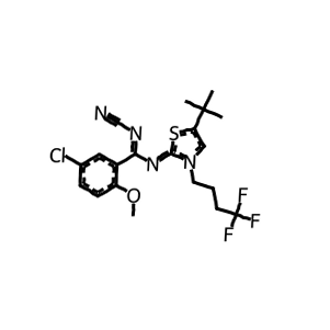 COc1ccc(Cl)cc1C(/N=c1\sc(C(C)(C)C)cn1CCCC(F)(F)F)=N\C#N